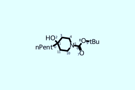 CCCCCC1(O)CCN(C(=O)OC(C)(C)C)CC1